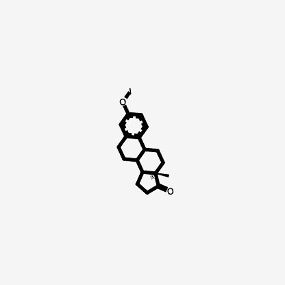 C[C@]12CCC3c4ccc(OI)cc4CCC3C1CCC2=O